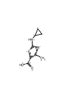 Cc1nc(NC2CC2)sc1C(=O)O